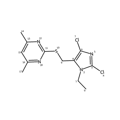 CCn1c(Cl)nc(Cl)c1CSc1nc(C)cc(C)n1